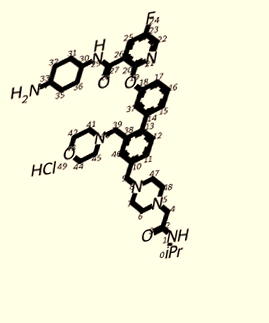 CC(C)NC(=O)CN1CCN(Cc2ccc(-c3cccc(Oc4ncc(F)cc4C(=O)NC4CCC(N)CC4)c3)c(CN3CCOCC3)c2)CC1.Cl